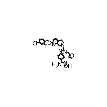 NC(=NO)c1ccc2nc(CN3CCc4ccc(OCc5ccc(Cl)cc5F)nc4C3)n(CC3CCO3)c2c1